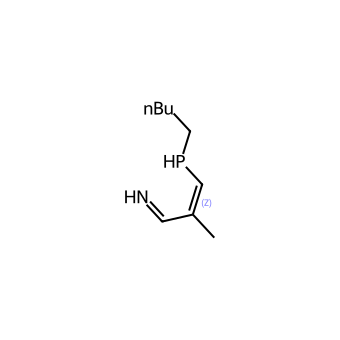 CCCCCP/C=C(/C)C=N